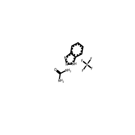 F[B-](F)(F)F.NC(N)=O.c1ccc2[nH]nnc2c1